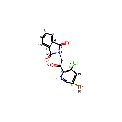 O=C(CN1C(=O)c2ccccc2C1=O)c1ncc(Br)cc1Cl